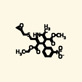 CCOC(=O)C1=C(CSCC2CO2)NC(C)=C(C(=O)OC)C1c1cccc([N+](=O)[O-])c1